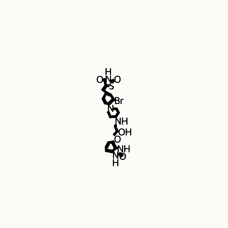 O=C1NC(=O)C(=Cc2ccc(N3CCC(NC[C@H](O)COc4cccc5[nH]c(=O)[nH]c45)CC3)c(Br)c2)S1